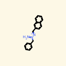 NN(Cc1ccccc1)/N=C/c1ccc2ccccc2c1